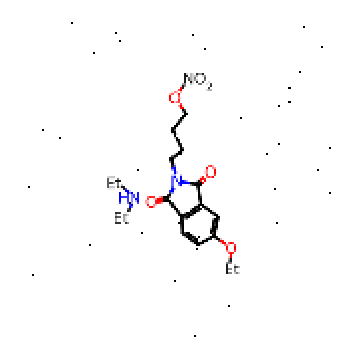 CCNCC.CCOc1ccc2c(c1)C(=O)N(CCCCO[N+](=O)[O-])C2=O